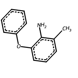 Cc1cccc(Oc2ccccc2)c1N